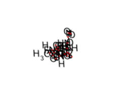 CC[C@@]1(O)C(=O)OCc2c1cc1n(c2=O)Cc2c-1nc1cc(F)c(C)c3c1c2[C@@H](NC(=O)C1(OCCNC(=O)CNC(=O)[C@H](Cc2ccccc2)NC(=O)CNC(=O)CNC(=O)CCCCCN2C(=O)C=CC2=O)CC1)CC3